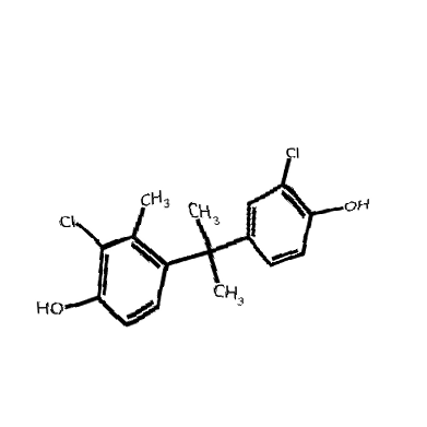 Cc1c(C(C)(C)c2ccc(O)c(Cl)c2)ccc(O)c1Cl